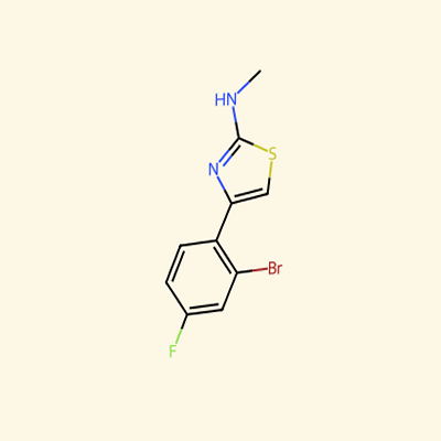 CNc1nc(-c2ccc(F)cc2Br)cs1